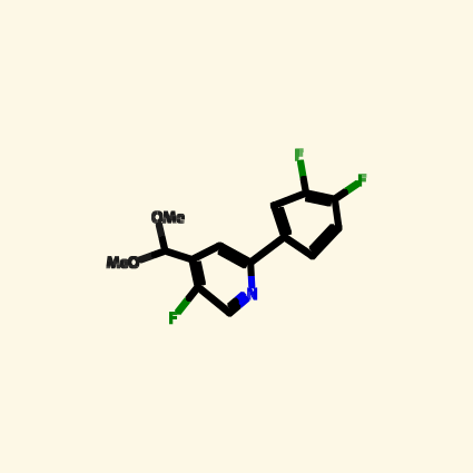 COC(OC)c1cc(-c2ccc(F)c(F)c2)ncc1F